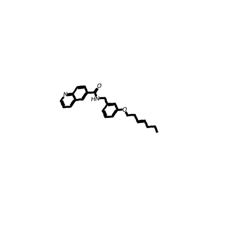 CCCC=CCCOc1cccc(CNC(=O)c2ccc3ncccc3c2)c1